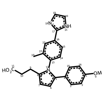 COc1ccc(-c2ccc(CCC(=O)O)n2-c2ccc(-c3ncc[nH]3)cc2C)cc1